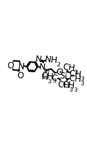 CC(C)[Si](OCC[C@@H](C)n1c(N)nc2cc(N3CCOCC3=O)ccc21)(C(C)C)C(C)C